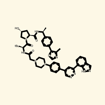 Cc1ncsc1-c1ccc([C@H](C)NC(=O)[C@@H]2C[C@@H](O)CN2C(=O)[C@@H](NC(=O)CN2CCN(c3ccc(-c4cnnc(-c5cccc6cn[nH]c56)c4)cc3)CC2)C(C)(C)C)cc1